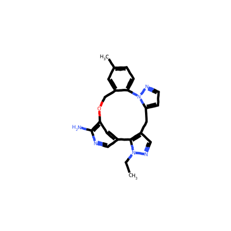 CCn1ncc2c1-c1cnc(N)c(c1)OCc1cc(C)ccc1-n1nccc1C2